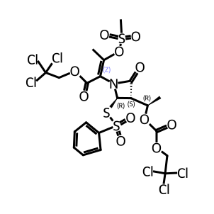 C/C(OS(C)(=O)=O)=C(\C(=O)OCC(Cl)(Cl)Cl)N1C(=O)[C@H]([C@@H](C)OC(=O)OCC(Cl)(Cl)Cl)[C@H]1SS(=O)(=O)c1ccccc1